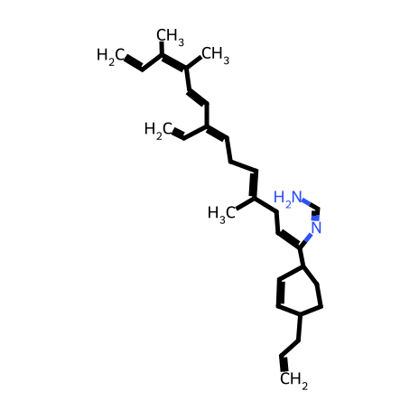 C=CCC1C=CC(C(=C/C/C(C)=C/C/C=C(C=C)/C=C/C(C)=C(/C)C=C)/N=C\N)CC1